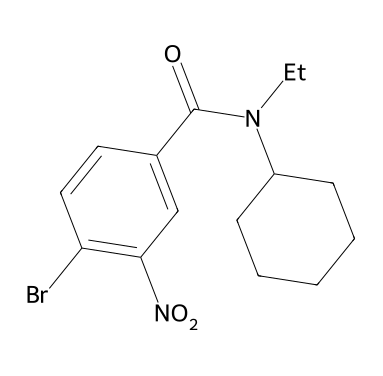 CCN(C(=O)c1ccc(Br)c([N+](=O)[O-])c1)C1CCCCC1